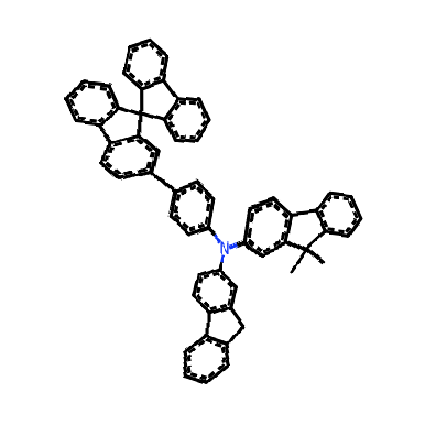 CC1(C)c2ccccc2-c2ccc(N(c3ccc(-c4ccc5c(c4)C4(c6ccccc6-c6ccccc64)c4ccccc4-5)cc3)c3ccc4c(c3)Cc3ccccc3-4)cc21